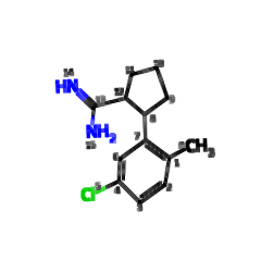 Cc1ccc(Cl)cc1C1CCCC1C(=N)N